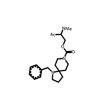 CNC(COC(=O)N1CCC2(CCCN2Cc2ccccc2)CC1)C(C)=O